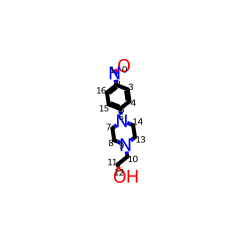 O=Nc1ccc(N2CCN(CCO)CC2)cc1